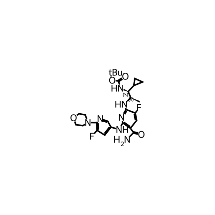 C[C@@H](Nc1nc(Nc2cnc(N3CCOCC3)c(F)c2)c(C(N)=O)cc1F)[C@@H](NC(=O)OC(C)(C)C)C1CC1